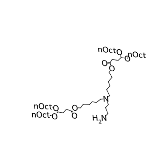 CCCCCCCCOC(CCC(=O)OCCCCCCN(CCCN)CCCCCCOC(=O)CCC(OCCCCCCCC)OCCCCCCCC)OCCCCCCCC